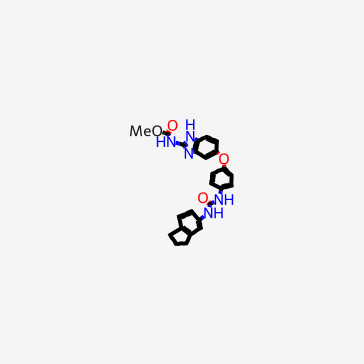 COC(=O)Nc1nc2cc(Oc3ccc(NC(=O)Nc4ccc5c(c4)CCC5)cc3)ccc2[nH]1